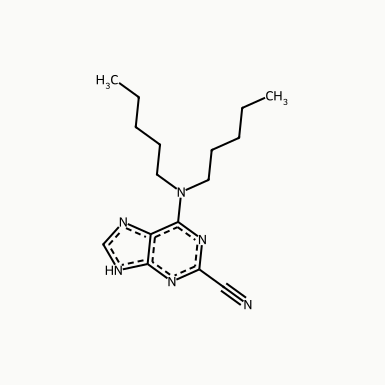 CCCCCN(CCCCC)c1nc(C#N)nc2[nH]cnc12